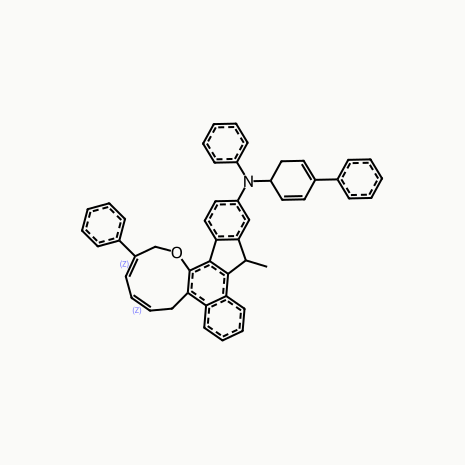 CC1c2cc(N(c3ccccc3)C3C=CC(c4ccccc4)=CC3)ccc2-c2c3c(c4ccccc4c21)C/C=C\C=C(\c1ccccc1)CO3